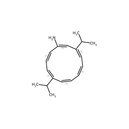 CC(C)C1=C/C=C\C(N)=C/C(C(C)C)=C\C=C/C=C\1